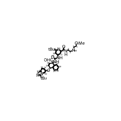 COCCN(C)CCNC(=O)c1cc(NC(=O)N[C@@]2(C=O)C=C[C@@H](Oc3ccc4nnc(C(C)(C)C)n4c3)c3ccccc32)cc(C(C)(C)C)n1